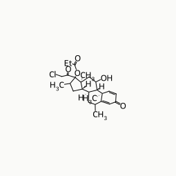 CCC(=O)O[C@]1(C(=O)CCl)C(C)C[C@H]2[C@@H]3CC(C)C4=CC(=O)C=C[C@]4(C)[C@H]3C(O)C[C@@]21C